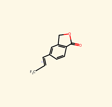 O=C1OCc2cc(/C=C/C(F)(F)F)ccc21